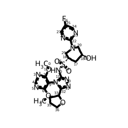 COc1ncnc(OC)c1-n1c(NS(=O)(=O)[C@H]2C[C@H](O)CN(c3ncc(F)cn3)C2)nnc1C1CCCO1